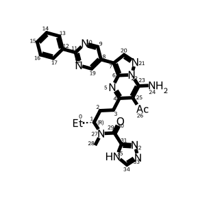 CC[C@H](CCc1nc2c(-c3cnc(-c4ccccc4)nc3)cnn2c(N)c1C(C)=O)N(C)C(=O)c1nnc[nH]1